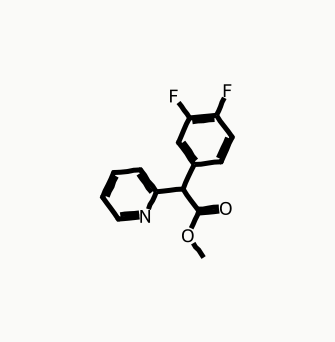 COC(=O)C(c1ccc(F)c(F)c1)c1ccccn1